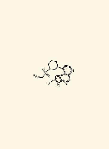 Cc1cc2c(ncc3nccc(C4CCCN(S(=O)(=O)CC(F)(F)F)C4)c32)[nH]1